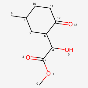 COC(=O)C(O)C1CC(C)CCC1=O